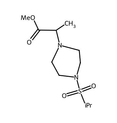 COC(=O)C(C)N1CCN(S(=O)(=O)C(C)C)CC1